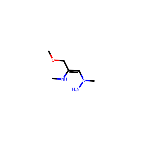 CN/C(=C\N(C)N)COC